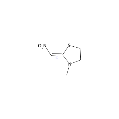 CN1CCS/C1=C\[N+](=O)[O-]